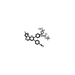 Cc1cc2ncc3cc(-c4ccc(C#N)cc4)c(-c4ccc(C5(NC(=O)OC(C)(C)C)CC(C)(O)C5)cc4)nc3n2n1